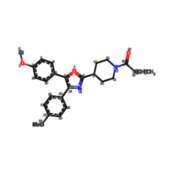 CCOc1ccc(-c2oc(C3CCN(C(=O)N(C)O)CC3)nc2-c2ccc(OC)cc2)cc1